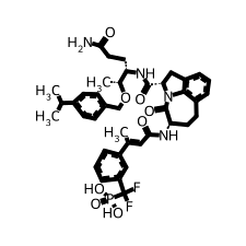 C/C(=C\C(=O)N[C@H]1CCc2cccc3c2N(C1=O)[C@H](C(=O)N[C@@H](CCC(N)=O)[C@@H](C)OCc1ccc(C(C)C)cc1)C3)c1cccc(C(F)(F)P(=O)(O)O)c1